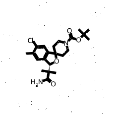 Cc1cc2c(cc1Cl)C1(CCN(C(=O)OC(C)(C)C)CC1)O[C@@H]2C(C)(C)C(N)=O